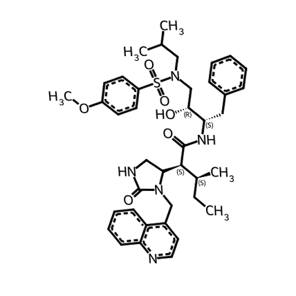 CC[C@H](C)[C@H](C(=O)N[C@@H](Cc1ccccc1)[C@H](O)CN(CC(C)C)S(=O)(=O)c1ccc(OC)cc1)C1CNC(=O)N1Cc1ccnc2ccccc12